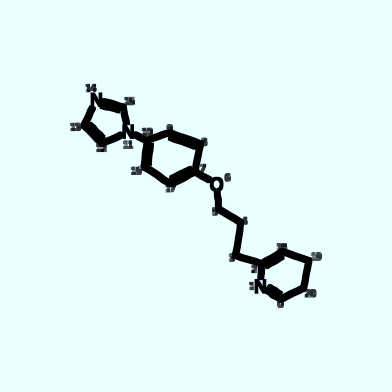 C1=NC(CCCOc2ccc(-n3ccnc3)cc2)=CCC1